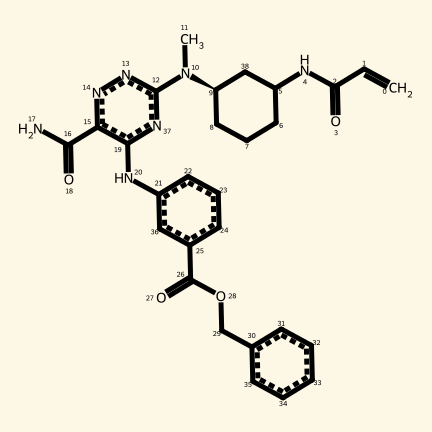 C=CC(=O)NC1CCC[C@@H](N(C)c2nnc(C(N)=O)c(Nc3cccc(C(=O)OCc4ccccc4)c3)n2)C1